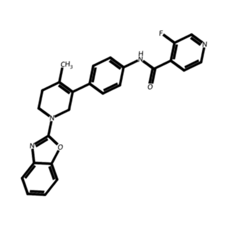 CC1=C(c2ccc(NC(=O)c3ccncc3F)cc2)CN(c2nc3ccccc3o2)CC1